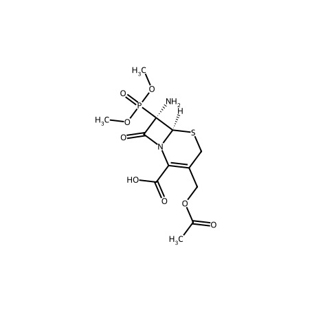 COP(=O)(OC)[C@]1(N)C(=O)N2C(C(=O)O)=C(COC(C)=O)CS[C@@H]21